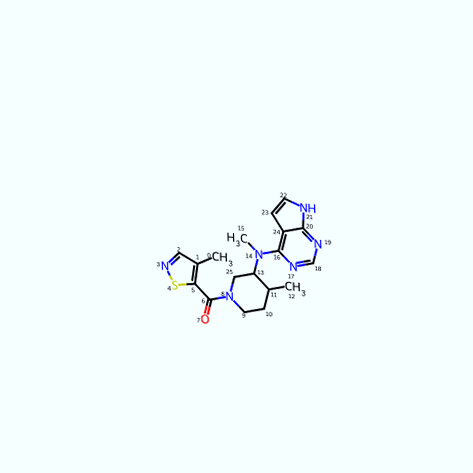 Cc1cnsc1C(=O)N1CCC(C)C(N(C)c2ncnc3[nH]ccc23)C1